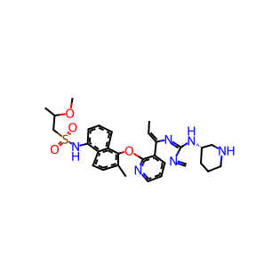 C=N/C(=N\C(=C/C)c1cccnc1Oc1c(C)ccc2c(NS(=O)(=O)CC(C)OC)cccc12)N[C@H]1CCCNC1